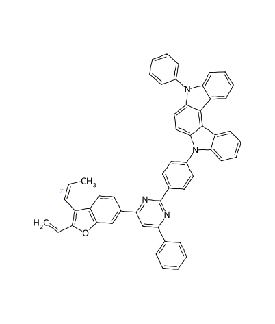 C=Cc1oc2cc(-c3cc(-c4ccccc4)nc(-c4ccc(-n5c6ccccc6c6c7c8ccccc8n(-c8ccccc8)c7ccc65)cc4)n3)ccc2c1/C=C\C